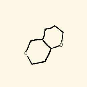 C1COC2CCOCC2C1